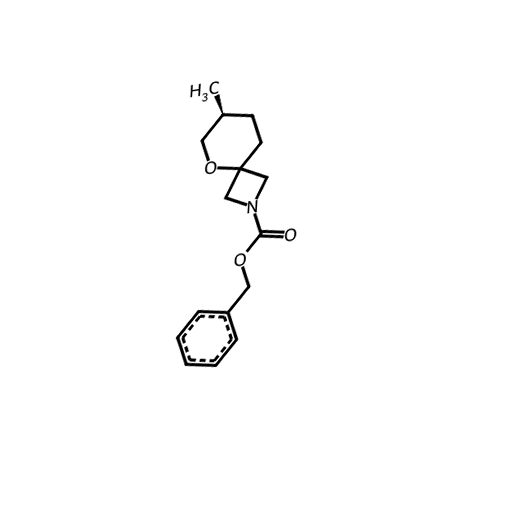 C[C@H]1CCC2(CN(C(=O)OCc3ccccc3)C2)OC1